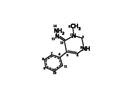 CN1CNC=C(c2ccccc2)C1=NN